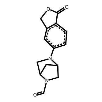 O=CN1CC2CC1CN2c1ccc2c(c1)COC2=O